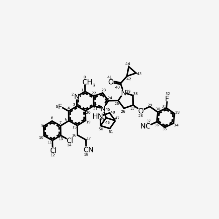 Cc1nc2c(F)c(-c3cccc(Cl)c3Cl)c(CCC#N)cc2c2c1cc(C1CC(OCc3c(F)cccc3C#N)CN1C(=O)C1CC1)n2C1C2CNC1C2